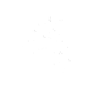 Cc1nc(N2CCC(F)(Cn3c(=O)[nH]c4cnc(-c5ccccc5C(C)C)nc43)CC2)c(C)s1